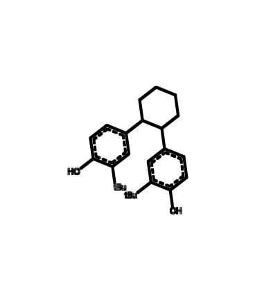 CC(C)(C)c1cc(C2CCCCC2c2ccc(O)c(C(C)(C)C)c2)ccc1O